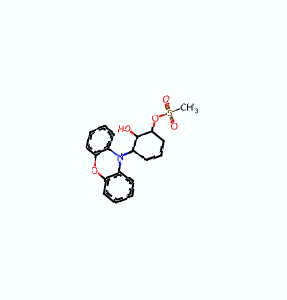 CS(=O)(=O)OC1CCCC(N2c3ccccc3Oc3ccccc32)C1O